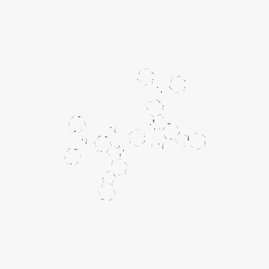 N#Cc1cc(-n2c3ccc(N(c4ccccc4)c4ccccc4)cc3c3c4oc5ccccc5c4ccc32)c(C#N)cc1-n1c2ccc(N(c3ccccc3)c3ccccc3)cc2c2cc3c(cc21)sc1ccccc13